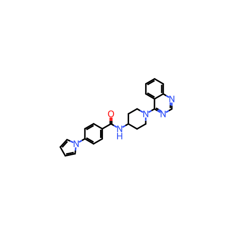 O=C(NC1CCN(c2ncnc3ccccc23)CC1)c1ccc(-n2cccc2)cc1